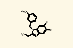 COc1cccc(Cn2c(CC(F)(F)F)nc3cc(Cl)c(Cl)cc32)c1